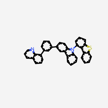 c1cc(-c2ccc3c(c2)c2ccccc2n3-c2cccc3sc4ccccc4c23)cc(-c2cccc3cccnc23)c1